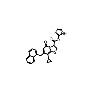 O=C(Oc1ncc[nH]1)C1CSc2c(C3CC3)c(Cc3cccc4ccccc34)cc(=O)n21